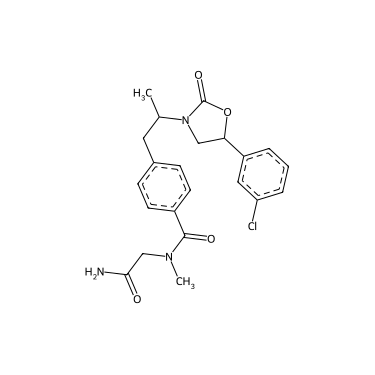 CC(Cc1ccc(C(=O)N(C)CC(N)=O)cc1)N1CC(c2cccc(Cl)c2)OC1=O